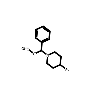 CC(=O)C1CCN(C(OC=O)c2ccccc2)CC1